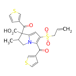 C=CCS(=O)(=O)c1cc2n(c1C(=O)c1ccsc1)CC(C)C2(C(=O)O)C(=O)c1ccsc1